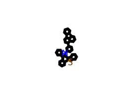 c1cc(-c2ccc3c4c(cccc24)-c2ccccc2-3)cc(-n2c3ccccc3c3c4ccccc4c4sc5ccccc5c4c32)c1